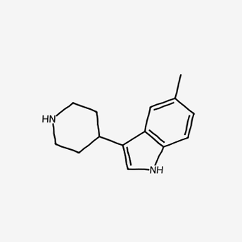 Cc1ccc2[nH]cc(C3CCNCC3)c2c1